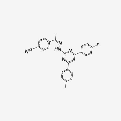 CC(=NNc1nc(-c2ccc(C)cc2)cc(-c2ccc(F)cc2)n1)c1ccc(C#N)cc1